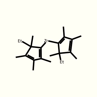 CCC1(C)C(C)=C(C)C(C)=[C]1[Zr][C]1=C(C)C(C)=C(C)C1(C)CC